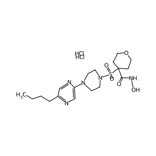 CCCCc1cnc(N2CCN(S(=O)(=O)C3(C(=O)NO)CCOCC3)CC2)cn1.Cl.Cl